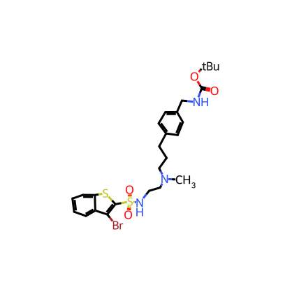 CN(CCCc1ccc(CNC(=O)OC(C)(C)C)cc1)CCNS(=O)(=O)c1sc2ccccc2c1Br